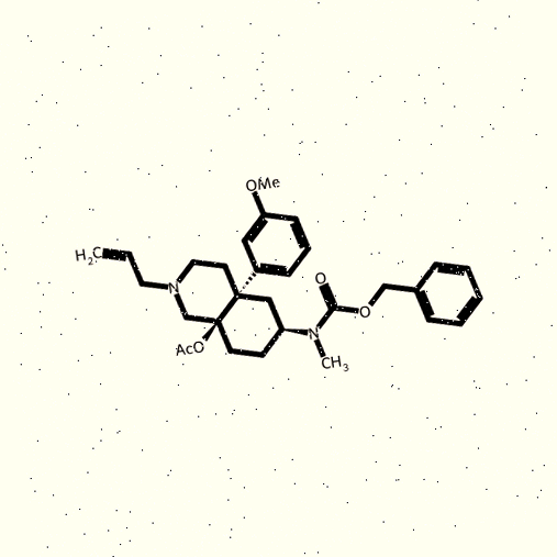 C=CCN1CC[C@@]2(c3cccc(OC)c3)C[C@@H](N(C)C(=O)OCc3ccccc3)CC[C@]2(OC(C)=O)C1